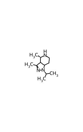 CC1=NN(C(C)C)C2CCN[C@H](C)C12